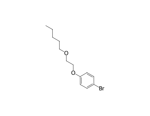 CCCCCOCCOc1ccc(Br)cc1